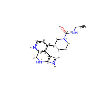 CC(C)CNC(=O)N1CCCC(c2ccnc3c2C2=C(N=C2)NC3)C1